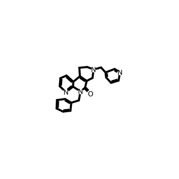 O=c1c2c(c3cccnc3n1Cc1ccccc1)CCN(Cc1cccnc1)C2